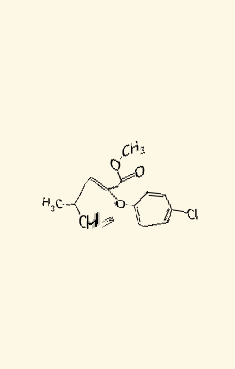 COC(=O)/C(=C/C(C)C)Oc1ccc(Cl)cc1